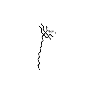 CCCCCCCCCCCCC(CCC)(CCC)C(CCC)(CCC)NN